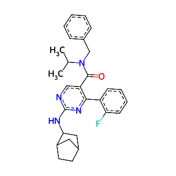 CC(C)N(Cc1ccccc1)C(=O)c1cnc(NC2CC3CCC2C3)nc1-c1ccccc1F